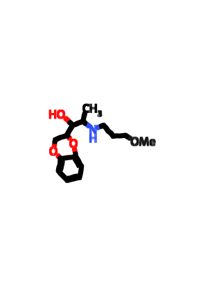 COCCCNC(C)C(O)C1COc2ccccc2O1